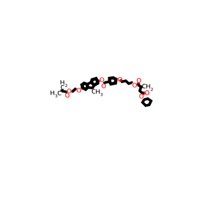 C=C(C)C(=O)OCCOc1ccc2c(c1)C(C)c1cc(OC(=O)c3ccc(OCCCCOC(=O)C(=C)CC(=O)OC4CCCCC4)cc3)ccc1-2